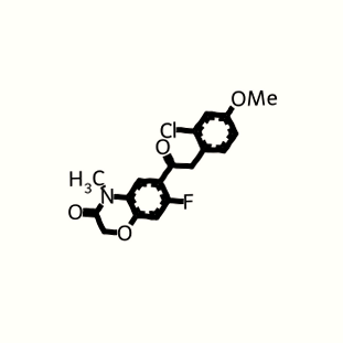 COc1ccc(CC(=O)c2cc3c(cc2F)OCC(=O)N3C)c(Cl)c1